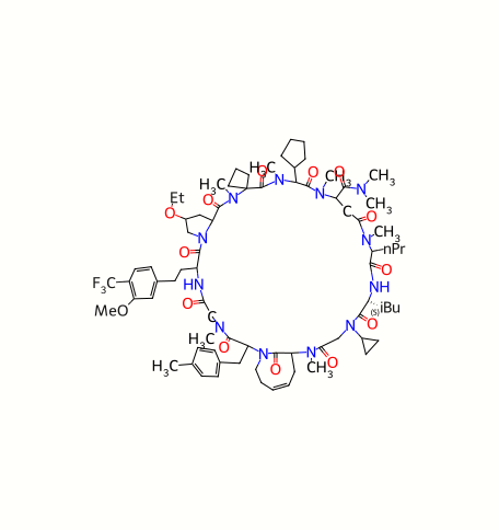 CCCC1C(=O)NC([C@@H](C)CC)C(=O)N(C2CC2)CC(=O)N(C)C2CC=CCCN(C2=O)C(Cc2ccc(C)cc2)C(=O)N(C)CC(=O)NC(CCc2ccc(C(F)(F)F)c(OC)c2)C(=O)N2CC(OCC)CC2C(=O)N(C)C2(CCC2)C(=O)N(C)C(C2CCCC2)C(=O)N(C)C(C(=O)N(C)C)CC(=O)N1C